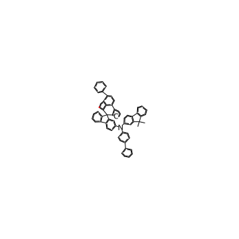 CC1(C)c2ccccc2-c2ccc(N(c3ccc(-c4ccccc4)cc3)c3ccc4c(c3)C3(c5ccccc5-4)c4ccccc4-c4ccc(-c5ccccc5)c5cccc3c45)cc21